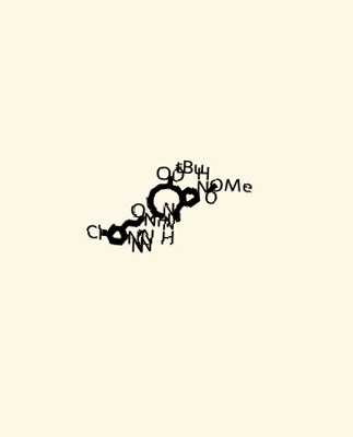 COC(=O)Nc1ccc2c(c1)CC(C(=O)OC(C)(C)C)CCCC[C@H](NC(=O)/C=C/c1cc(Cl)ccc1-n1cnnn1)c1nc-2c[nH]1